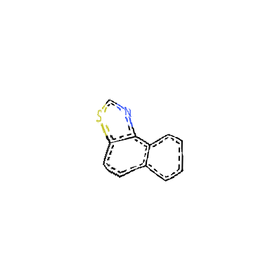 [c]1nc2c(ccc3ccccc32)s1